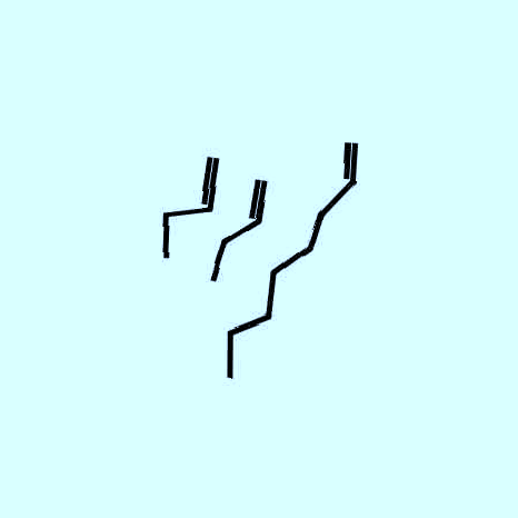 C=CCC.C=CCC.C=CCCCCCC